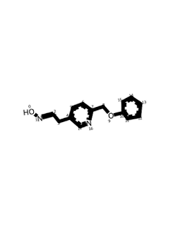 O/N=[C]/Cc1ccc(COc2ccccc2)nc1